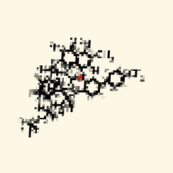 [2H]c1c(C)c([2H])c2c(=O)c([2H])c(SC([2H])([2H])c3cccc(F)c3F)n(CC(=O)N(Cc3ccc(-c4ccc(C(F)(F)F)cc4)cc3)C3([2H])C([2H])([2H])C([2H])([2H])N(C([2H])([2H])COC([2H])([2H])[2H])C([2H])([2H])C3([2H])[2H])c2c1[2H]